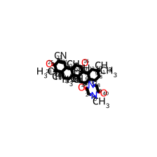 CN1CC(=O)N([C@]23CCC(C)(C)C[C@H]2[C@H]2C(=O)C=C4[C@@]5(C)C=C(C#N)C(=O)C(C)(C)[C@@H]5CC[C@@]4(C)[C@]2(C)CC3)CC1=O